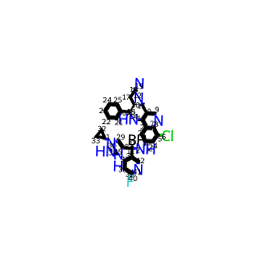 BC(Nc1cc(Cl)c2ncc(C#N)c(N[C@H](CCC#N)c3ccccc3)c2c1)(C1=CN(C2CC2)NN1)c1ccc(F)nc1